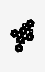 O=c1c2ccccc2oc2cc(-c3ccccc3-c3nc(-c4ccccc4)nc(-c4ccccc4)n3)ccc12